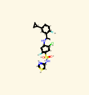 CC(Nc1cc(F)c(S(=O)(=O)Nc2cscn2)cc1Cl)c1cc(C2CC2)ccc1F